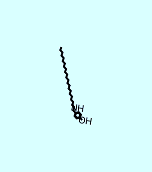 CCCCCCCCCCCCCCCCCCCCCCNCc1ccc(O)cc1